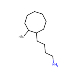 CCCCC1CCCCCCC1CCCCN